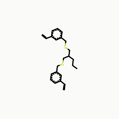 C=Cc1cccc(CSCC(CCC)CSCc2cccc(C=C)c2)c1